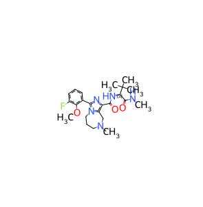 CNC(=O)[C@@H](NC(=O)c1nc(-c2cccc(F)c2OC)n2c1CN(C)CCC2)C(C)(C)C